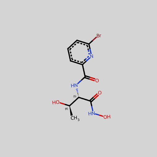 C[C@@H](O)[C@H](NC(=O)c1cccc(Br)n1)C(=O)NO